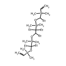 C=C[Si](C)(C)OC(CC)(CC)[Si](C)(C)OC(CC)C(CC)(CC)[Si](C)(C)OC(CC)[Si](C)(C)C=C